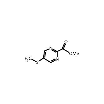 COC(=O)c1ncc(SC(F)(F)F)cn1